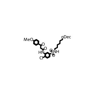 CCCCCCCCCCCCCCCCNS(=O)(=O)c1ccc(Cl)c(NC(=O)CC(=O)c2ccc(OC)cc2)c1